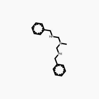 CN(CPCc1ccccc1)CPCc1ccccc1